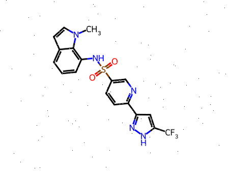 Cn1ccc2cccc(NS(=O)(=O)c3ccc(-c4cc(C(F)(F)F)[nH]n4)nc3)c21